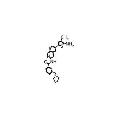 Cc1cc(-c2ccc3cnc(NC(=O)c4cccc(CN5CCCC5)c4)cc3c2)sc1N